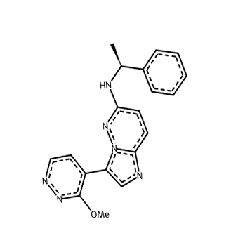 COc1nnccc1-c1cnc2ccc(N[C@@H](C)c3ccccc3)nn12